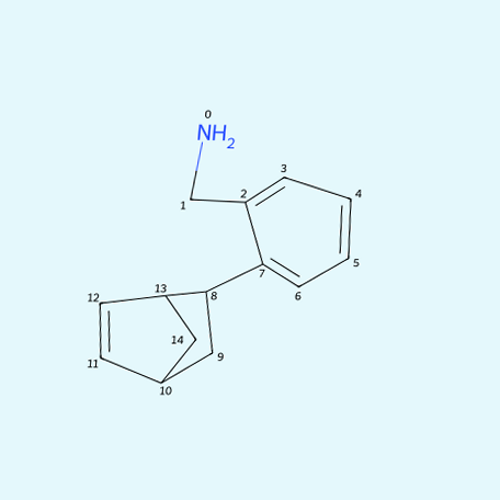 NCc1ccccc1C1CC2C=CC1C2